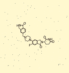 O=C1CCC(N2Cc3cc(N4CCN(Cc5ccc6c(c5)CNC6=O)CC4)c(F)cc3C2=O)C(=O)N1